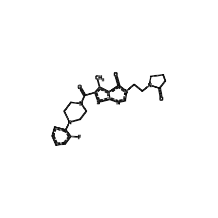 Cc1c(C(=O)N2CCN(c3ccccc3F)CC2)sc2ncn(CCN3CCCC3=O)c(=O)c12